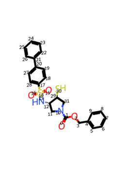 O=C(OCc1ccccc1)N1C[C@H](NS(=O)(=O)c2ccc(-c3ccccc3)cc2)[C@@H](S)C1